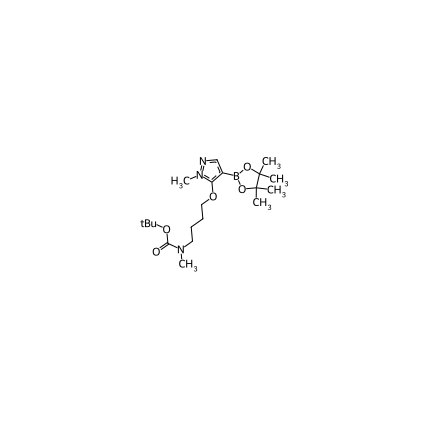 CN(CCCCOc1c(B2OC(C)(C)C(C)(C)O2)cnn1C)C(=O)OC(C)(C)C